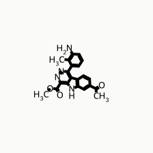 COC(=O)c1nnc(-c2cccc(N)c2C)c2c1[nH]c1cc(C(C)=O)ccc12